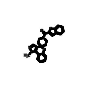 Cn1ncc2c1-c1ccccc1OC21CCN(C(=O)c2cc3ccccc3o2)CC1